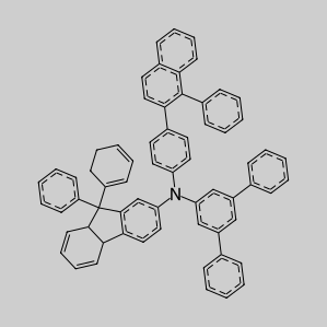 C1=CCCC(C2(c3ccccc3)c3cc(N(c4ccc(-c5ccc6ccccc6c5-c5ccccc5)cc4)c4cc(-c5ccccc5)cc(-c5ccccc5)c4)ccc3C3C=CC=CC32)=C1